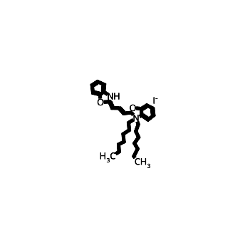 CCCCCCC[N+]1(CCCCCCC)c2ccccc2OC1C=CC=C1Nc2ccccc2O1.[I-]